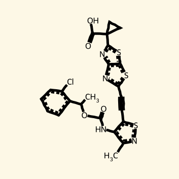 Cc1nsc(C#Cc2nc3nc(C4(C(=O)O)CC4)sc3s2)c1NC(=O)OC(C)c1ccccc1Cl